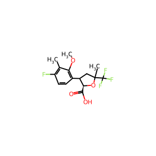 COc1c(C2CC(C)(C(F)(F)F)O[C@H]2C(=O)O)ccc(F)c1C